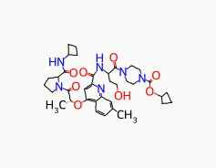 Cc1ccc2c(O[C@H](C)C(=O)N3CCCC3C(=O)NC3CCC3)cc(C(=O)NC(CCO)C(=O)N3CCN(C(=O)OC4CCC4)CC3)nc2c1